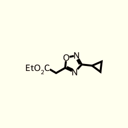 CCOC(=O)Cc1nc(C2CC2)no1